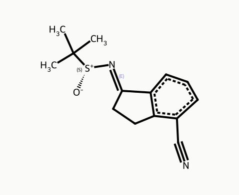 CC(C)(C)[S@@+]([O-])/N=C1\CCc2c(C#N)cccc21